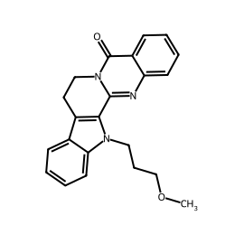 COCCCn1c2c(c3ccccc31)CCn1c-2nc2ccccc2c1=O